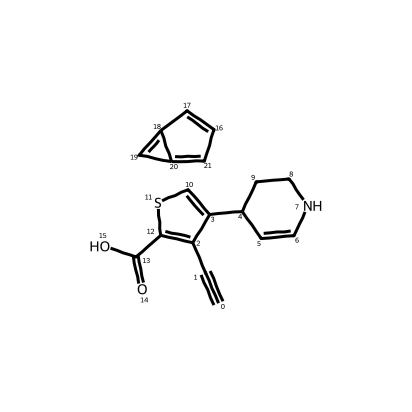 C#Cc1c(C2C=CNCC2)csc1C(=O)O.c1cc2cc-2c1